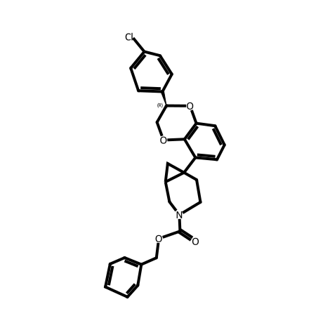 O=C(OCc1ccccc1)N1CCC2(c3cccc4c3OC[C@@H](c3ccc(Cl)cc3)O4)CC2C1